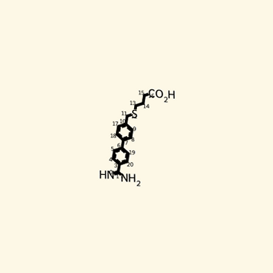 N=C(N)c1ccc(-c2ccc(CSCCCC(=O)O)cc2)cc1